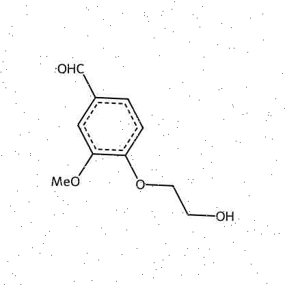 COc1cc([C]=O)ccc1OCCO